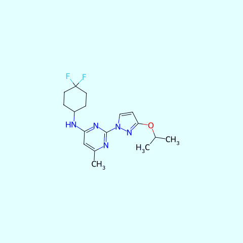 Cc1cc(NC2CCC(F)(F)CC2)nc(-n2ccc(OC(C)C)n2)n1